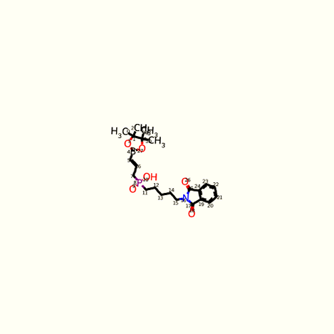 CC1(C)OB(C=CCP(=O)(O)CCCCCN2C(=O)c3ccccc3C2=O)OC1(C)C